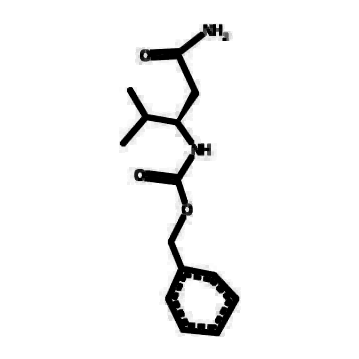 CC(C)[C@@H](CC(N)=O)NC(=O)OCc1ccccc1